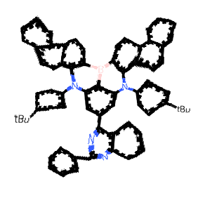 CC(C)(C)c1ccc(N2c3cc(-c4nc(-c5ccccc5)nc5ccccc45)cc4c3B(c3ccc5c(ccc6ccccc65)c32)c2ccc3c(ccc5ccccc53)c2N4c2ccc(C(C)(C)C)cc2)cc1